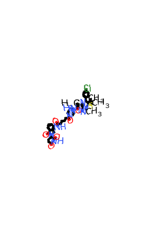 C=C(C(=O)NN1CCN(C(=O)CCCCC(=O)Nc2cccc3c2CN(C2CCC(=O)NC2=O)C3=O)CC1)[C@@H]1N=C(c2ccc(Cl)cc2)c2c(sc(C)c2C)-n2c(C)nnc21